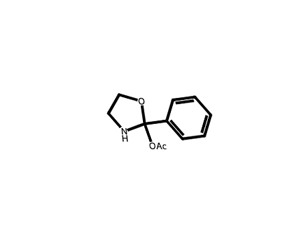 CC(=O)OC1(c2ccccc2)NCCO1